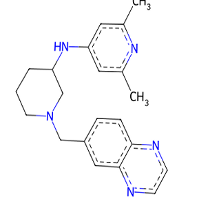 Cc1cc(NC2CCCN(Cc3ccc4nccnc4c3)C2)cc(C)n1